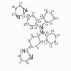 c1cnc(-c2ccc3c(c2)c2ccccc2n3-n2c3ccccc3c3cc(-c4ncccn4)ccc32)nc1